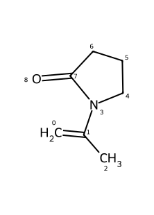 C=C(C)N1CCCC1=O